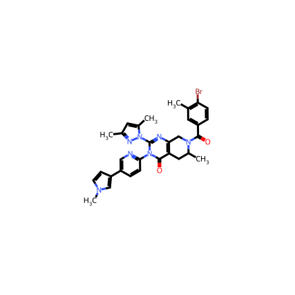 Cc1cc(C)n(-c2nc3c(c(=O)n2-c2ccc(-c4ccn(C)c4)cn2)CC(C)N(C(=O)c2ccc(Br)c(C)c2)C3)n1